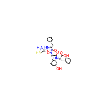 N[C@@H](CS)C(=O)N[C@@H](Cc1ccccc1)C(=O)N[C@@H](Cc1ccc(O)cc1)C(=O)N[C@@H](Cc1ccccc1)C(=O)O